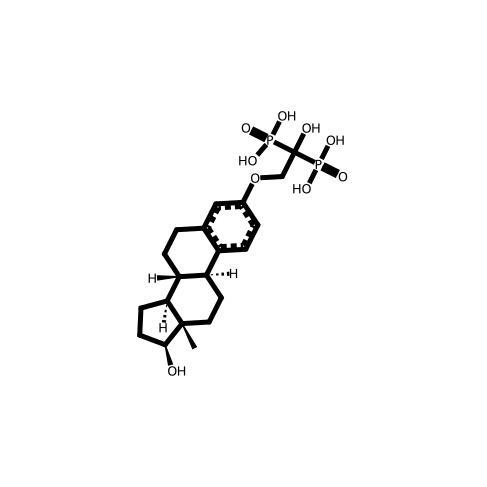 C[C@]12CC[C@@H]3c4ccc(OCC(O)(P(=O)(O)O)P(=O)(O)O)cc4CC[C@H]3[C@@H]1CC[C@@H]2O